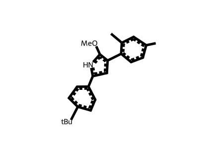 COc1[nH]c(-c2ccc(C(C)(C)C)cc2)cc1-c1ccc(C)cc1C